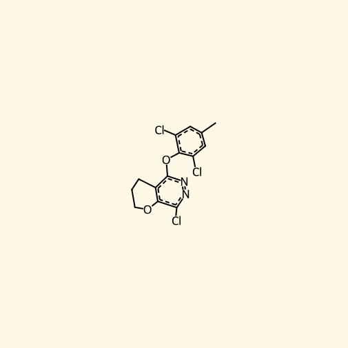 Cc1cc(Cl)c(Oc2nnc(Cl)c3c2CCCO3)c(Cl)c1